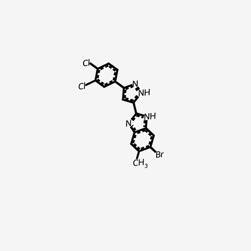 Cc1cc2nc(-c3cc(-c4ccc(Cl)c(Cl)c4)n[nH]3)[nH]c2cc1Br